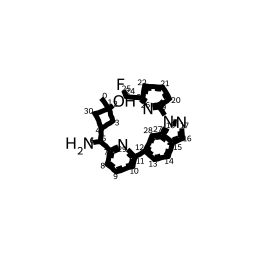 CC1(O)CC(C(N)c2cccc(-c3ccc4cnn(-c5cccc(CF)n5)c4c3)n2)C1